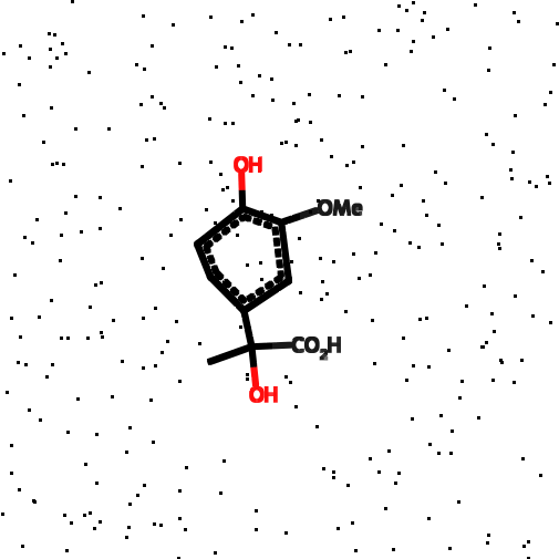 COc1cc(C(C)(O)C(=O)O)ccc1O